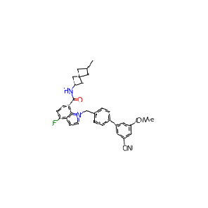 COc1cc(C#N)cc(-c2ccc(Cn3ccc4c(F)ccc(C(=O)NC5CC6(CC(C)C6)C5)c43)cc2)c1